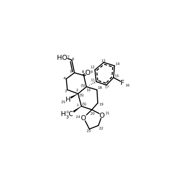 C[C@H]1[C@@H]2CCC(=CO)C(=O)[C@@]2(c2cccc(F)c2)CCC12OCCO2